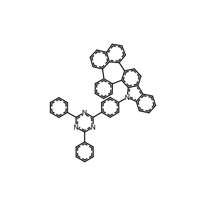 c1ccc(-c2nc(-c3ccccc3)nc(-c3ccc(-n4c5ccccc5c5ccc6c(c54)-c4ccccc4-c4cccc5cccc-6c45)cc3)n2)cc1